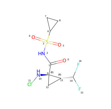 O=C(NS(=O)(=O)C1CC1)[C@@]1(NCl)C[C@H]1C(F)F